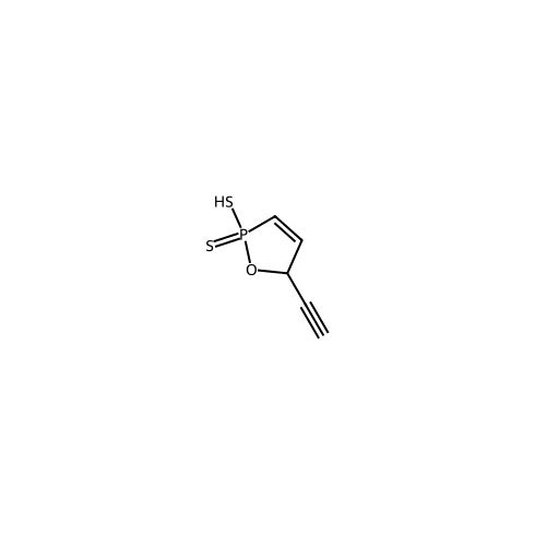 C#CC1C=CP(=S)(S)O1